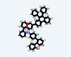 c1ccc(-c2ccccc2N(c2ccc(-c3cccc4oc5ccccc5c34)cc2)c2cccc(-c3ccc4c(c3)c(-c3ccccc3)c(-c3ccccc3)c3ccccc34)c2)cc1